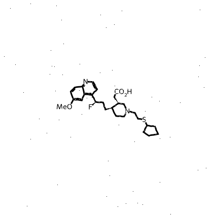 COc1ccc2nccc([C@H](F)CC[C@@H]3CCN(CCSC4CCCC4)C[C@@H]3CC(=O)O)c2c1